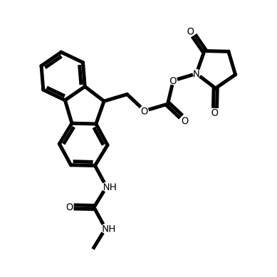 CNC(=O)Nc1ccc2c(c1)C(COC(=O)ON1C(=O)CCC1=O)c1ccccc1-2